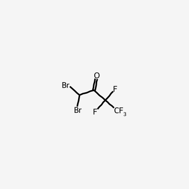 O=C(C(Br)Br)C(F)(F)C(F)(F)F